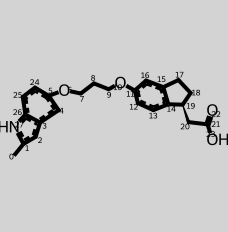 Cc1cc2cc(OCCCOc3ccc4c(c3)CC[C@H]4CC(=O)O)ccc2[nH]1